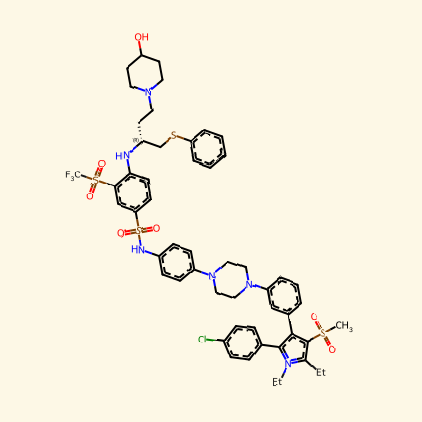 CCc1c(S(C)(=O)=O)c(-c2cccc(N3CCN(c4ccc(NS(=O)(=O)c5ccc(N[C@H](CCN6CCC(O)CC6)CSc6ccccc6)c(S(=O)(=O)C(F)(F)F)c5)cc4)CC3)c2)c(-c2ccc(Cl)cc2)n1CC